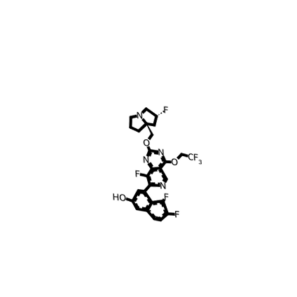 Oc1cc(-c2ncc3c(OCC(F)(F)F)nc(OC[C@@]45CCCN4C[C@H](F)C5)nc3c2F)c2c(F)c(F)ccc2c1